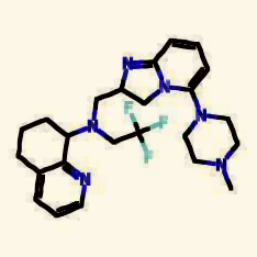 CN1CCN(C2=CC=CC3=NC(CN(CC(F)(F)F)C4CCCc5cccnc54)CN23)CC1